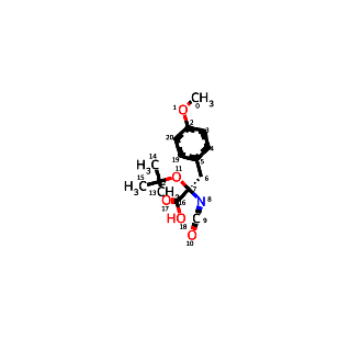 COc1ccc(C[C@@](N=C=O)(OC(C)(C)C)C(=O)O)cc1